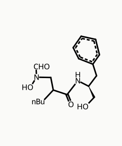 CCCCC(CN(O)C=O)C(=O)N[C@H](CO)Cc1ccccc1